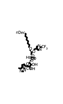 CCCCCCCCCCCCCCCCCCOC[C@H](COP(=O)(O)OC[C@H]1O[C@@](C#N)(c2ccc3c(C)ncnn23)[C@H](O)[C@@H]1O)OCc1cnc(C(F)(F)F)nc1